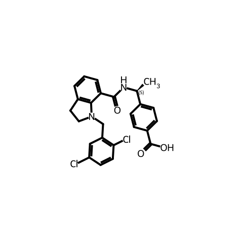 C[C@H](NC(=O)c1cccc2c1N(Cc1cc(Cl)ccc1Cl)CC2)c1ccc(C(=O)O)cc1